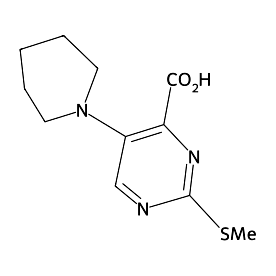 CSc1ncc(N2CCCCC2)c(C(=O)O)n1